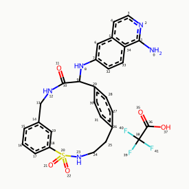 Nc1nccc2cc(NC3C(=O)NCc4cccc(c4)S(=O)(=O)NCCc4ccc3cc4)ccc12.O=C(O)C(F)(F)F